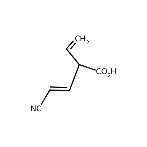 C=CC(C=CC#N)C(=O)O